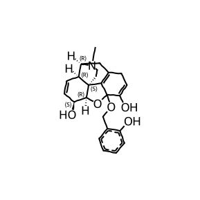 CN1CC[C@]23C4=C5CC=C(O)C4(OCc4ccccc4O)O[C@H]2[C@@H](O)C=C[C@H]3[C@H]1C5